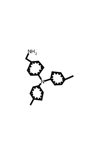 Cc1ccc(N(c2ccc(C)cc2)c2ccc(CN)cc2)cc1